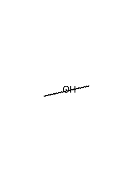 CCCCCC=CCC=CCCCCCCCCC(O)CCCCCCCCC=CC/C=C/CCCCC